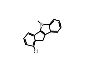 Cn1c2c(c3ccccc31)Cc1c(Cl)cccc1-2